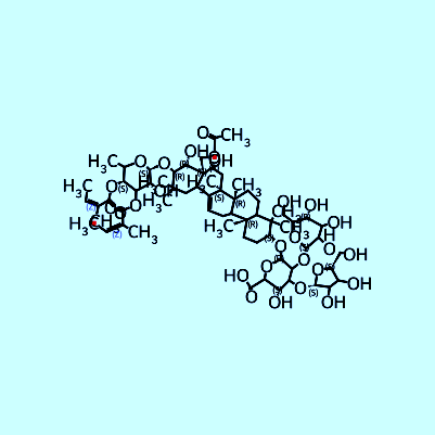 C/C=C(/C)C(=O)OC1C(O)[C@H](O[C@H]2[C@H](O)[C@@]3(COC(C)=O)C(CC2(C)C)C2=CCC4[C@@]5(C)CC[C@H](O[C@@H]6OC(C(=O)O)[C@@H](O)C(O[C@@H]7O[C@@H](CO)C(O)C7O)C6O[C@@H]6OC(CO)[C@H](O)C(O)C6O)C(C)(C)C5CC[C@@]4(C)[C@]2(C)C[C@H]3O)OC(C)[C@@H]1OC(=O)/C(C)=C\C